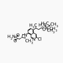 CC(CCO[Si](C)(C)C(C)(C)C)c1ccc(N2C[C@H](CS(N)(=O)=O)[C@H]2C)c2cnc(Cl)cc12